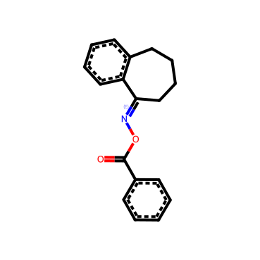 O=C(O/N=C1\CCCCc2ccccc21)c1ccccc1